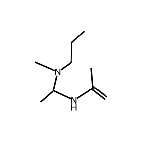 C=C(C)NC(C)N(C)CCC